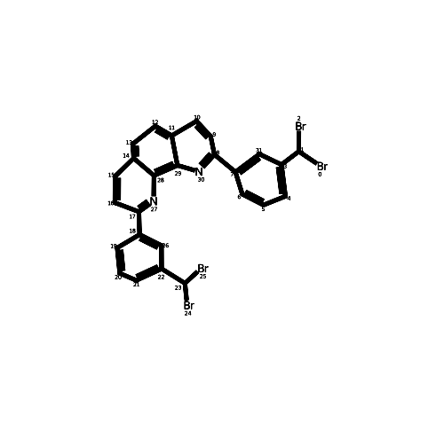 BrC(Br)c1cccc(-c2ccc3ccc4ccc(-c5cccc(C(Br)Br)c5)nc4c3n2)c1